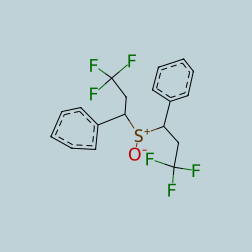 [O-][S+](C(CC(F)(F)F)c1ccccc1)C(CC(F)(F)F)c1ccccc1